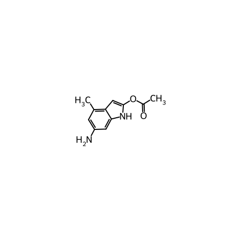 CC(=O)Oc1cc2c(C)cc(N)cc2[nH]1